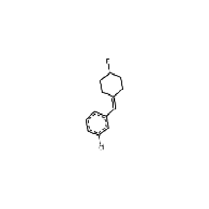 FC1CCC(=Cc2cccc(Cl)c2)CC1